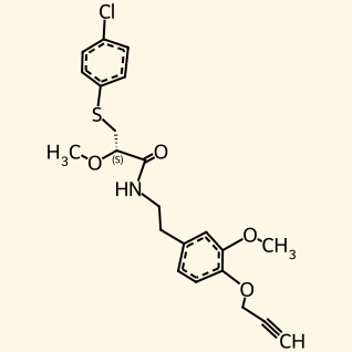 C#CCOc1ccc(CCNC(=O)[C@@H](CSc2ccc(Cl)cc2)OC)cc1OC